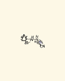 C/N=C(\NC#N)NCCNCc1nscc1Br